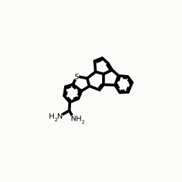 NC(N)c1ccc2c(c1)C1C=C3c4ccccc4C4=CC=CC(C43)C1S2